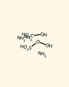 N.N.N.O=C(O)O.O=S(=O)(O)OO